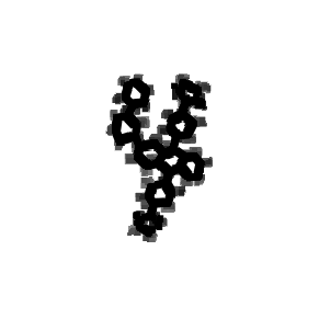 c1ccc(-c2cccc(-c3ccc4c(-c5ccc(-c6nccs6)cc5)c5ccccc5c(-c5ccc(-c6nccs6)cc5)c4c3)c2)cc1